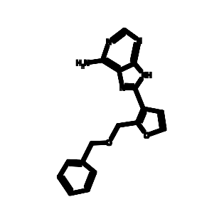 Nc1ncnc2[nH]c(-c3ccoc3COCc3ccccc3)nc12